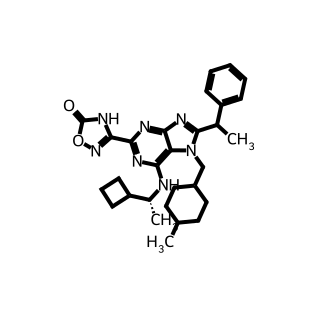 CC1CCC(Cn2c(C(C)c3ccccc3)nc3nc(-c4noc(=O)[nH]4)nc(N[C@H](C)C4CCC4)c32)CC1